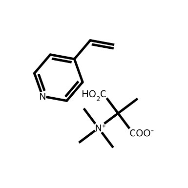 C=Cc1ccncc1.CC(C(=O)[O-])(C(=O)O)[N+](C)(C)C